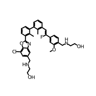 COc1cc(C(F)=Cc2cccc(-c3cccc(-c4nc5cc(CNCCO)cc(Cl)c5o4)c3C)c2C)ccc1CNCCO